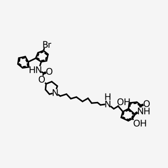 O=C(Nc1ccc(Br)cc1-c1ccccc1)OC1CCN(CCCCCCCCCNCC(O)c2ccc(O)c3[nH]c(=O)ccc23)CC1